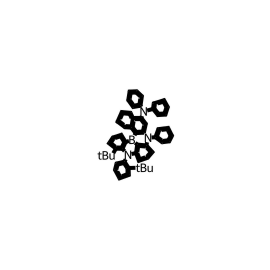 CC(C)(C)c1ccccc1N1c2cccc3c2B(c2cccc(C(C)(C)C)c21)c1c(cc(N(c2ccccc2)c2ccccc2)c2ccccc12)N3c1ccccc1